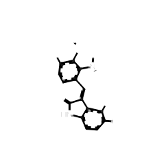 COc1c(O)ccc(C=C2C(=O)Nc3ccc(Br)c(C)c32)c1[N+](=O)[O-]